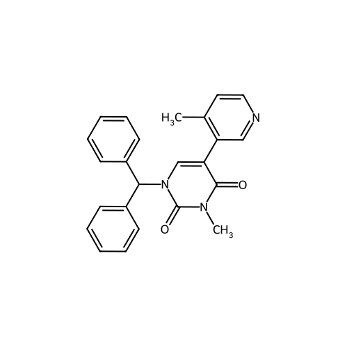 Cc1ccncc1-c1cn(C(c2ccccc2)c2ccccc2)c(=O)n(C)c1=O